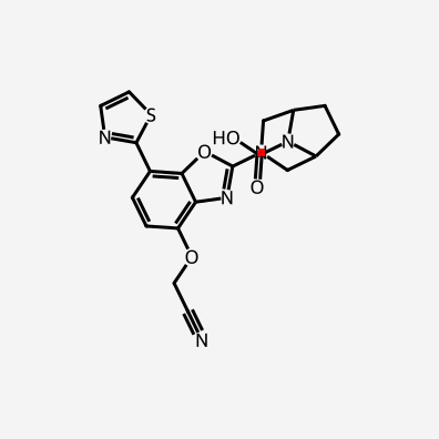 N#CCOc1ccc(-c2nccs2)c2oc(N3CC4CCC(C3)N4C(=O)O)nc12